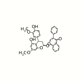 COc1cc(O)c2c(c1)OC(=O)CC2c1ccc(O)c(OC)c1.O=c1c(-c2ccccc2)coc2ccccc12